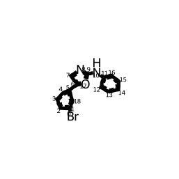 Brc1cccc(-c2cnc(Nc3ccccc3)o2)c1